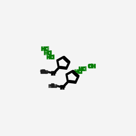 CCC[CH2][Zr][C]1=CC=CC1.C[C](C)(C)[Zr][C]1=CC=CC1.Cl.Cl.Cl.Cl.Cl.Cl